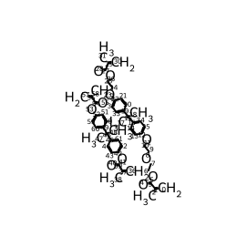 C=C(C)C(=O)OCCOCCOc1ccc(C(C)(C)c2ccc(OCCOC(=O)C(=C)C)cc2)cc1.C=C(C)C(=O)Oc1ccc(C(C)(C)c2ccc(OC(=O)C(=C)C)cc2)cc1